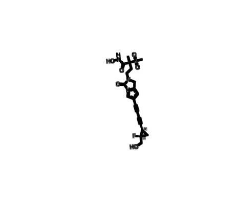 CC(CCN1Cc2cc(C#CC#C[C@H]3C[C@]3(F)CO)cn2C1=O)(C(=O)NO)S(C)(=O)=O